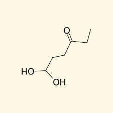 CCC(=O)CCC(O)O